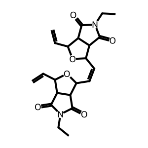 C=CC1OC(/C=C\C2OC(C=C)C3C(=O)N(CC)C(=O)C23)C2C(=O)N(CC)C(=O)C12